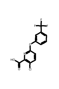 O=C(O)c1nc(Oc2cccc(C(F)(F)F)c2)ccc1Cl